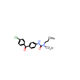 COCCN(C(=O)O)C(=O)Nc1ccc(C(=O)c2ccc(Cl)cc2)cc1